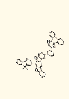 CC1(C)c2ccccc2-c2ccc(-c3c4oc5ccccc5c4cc4c3oc3ccc(-c5cccc(-c6cnc7c8ccccc8c8ccccc8c7n6)c5)cc34)cc21